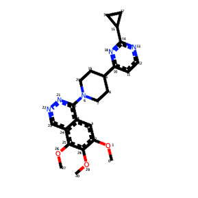 COc1cc2c(N3CCC(c4ccnc(C5CC5)n4)CC3)nncc2c(OC)c1OC